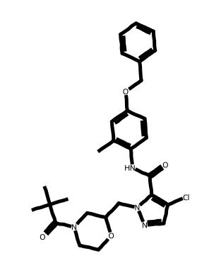 Cc1cc(OCc2ccccc2)ccc1NC(=O)c1c(Cl)cnn1CC1CN(C(=O)C(C)(C)C)CCO1